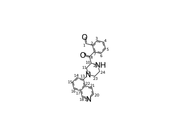 O=Cc1ccccc1C(=O)C1CN(c2cccc3cnccc23)CCN1